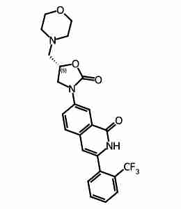 O=C1O[C@@H](CN2CCOCC2)CN1c1ccc2cc(-c3ccccc3C(F)(F)F)[nH]c(=O)c2c1